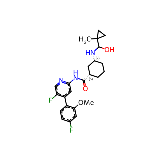 COc1cc(F)ccc1-c1cc(NC(=O)[C@H]2CCC[C@@H](NC(O)C3(C)CC3)C2)ncc1F